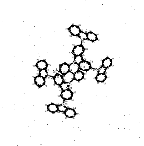 N#Cc1ccc(-n2c3ccc(-n4c5ccccc5c5ccccc54)cc3c3cc(-n4c5ccccc5c5ccccc54)ccc32)c(-c2c(-n3c4ccc(-n5c6ccccc6c6ccccc65)cc4c4cc(-n5c6ccccc6c6ccccc65)ccc43)cccc2C(F)(F)F)c1